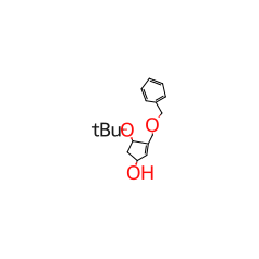 CC(C)(C)O[C@@H]1C[C@H](O)C=C1COCc1ccccc1